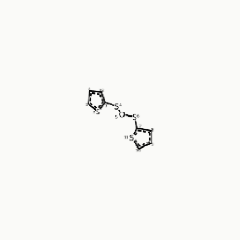 c1csc(SOSc2cccs2)c1